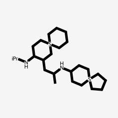 CC(C)NC1CCS2(CCCCC2)CC1CC(C)NC1CCS2(CCCC2)CC1